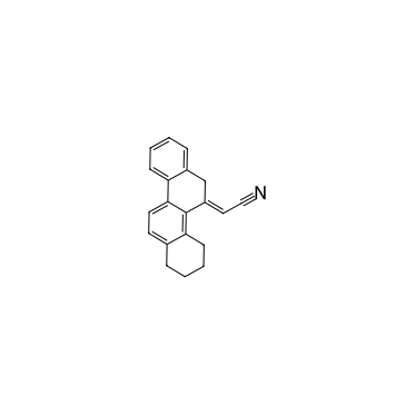 N#CC=C1Cc2ccccc2-c2ccc3c(c21)CCCC3